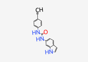 C#Cc1ccc(NC(=O)Nc2ccc3cc[nH]c3c2)cc1